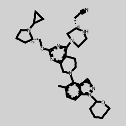 Cc1ccc2c(cnn2C2CCCCO2)c1N1CCc2c(nc(OC[C@@H]3CCCN3C3CC3)nc2N2CCN[C@@H](CC#N)C2)C1